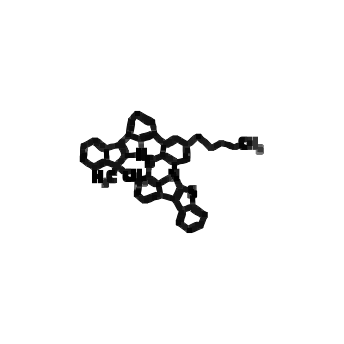 CCCCCc1cc2c3c(c1)-n1c4sc5ccccc5c4c4cccc(c41)B3n1c3c(c4cccc-2c41)-c1ccccc1C3(C)C